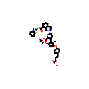 Cc1c(OC2CCC(CCCC(=O)O)CC2)cccc1-c1ccc(N2CCc3cccc(C(=O)Nc4nc5ccccc5s4)c3C2)nc1C(=O)OC(C)(C)C